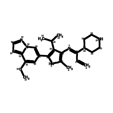 C=C/C(=N\c1c(C)[nH]c(-c2cc(OC)c3ncnn3c2)c1C(C)C)N1CCNCC1